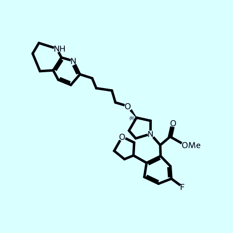 COC(=O)C(c1cc(F)ccc1C1CCOC1)N1CC[C@@H](OCCCCc2ccc3c(n2)NCCC3)C1